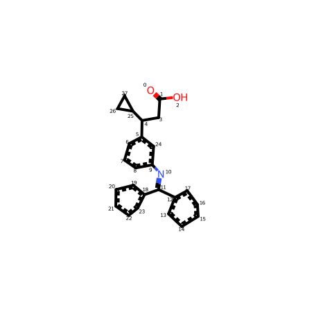 O=C(O)CC(c1cccc(N=C(c2ccccc2)c2ccccc2)c1)C1CC1